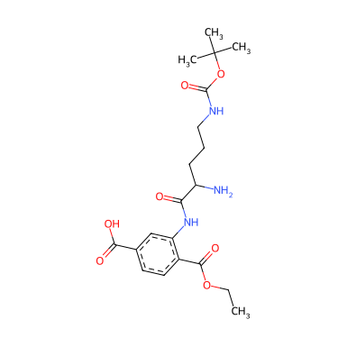 CCOC(=O)c1ccc(C(=O)O)cc1NC(=O)C(N)CCCNC(=O)OC(C)(C)C